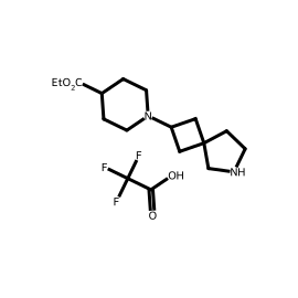 CCOC(=O)C1CCN(C2CC3(CCNC3)C2)CC1.O=C(O)C(F)(F)F